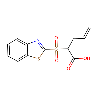 C=CCC(C(=O)O)S(=O)(=O)c1nc2ccccc2s1